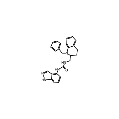 O=C(NCC1CCc2ccccc2N1Cc1ccccc1)Nc1cccc2[nH]ncc12